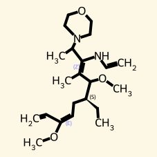 C=CN/C(=C(/C)C(OC)[C@@H](CC)C/C=C(\C=C)OC)C(C)N1CCOCC1